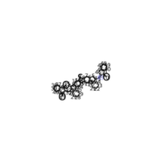 O=C1/C(=C/C2=Cc3cc4sc5cc6c(cc5c4cc3C23CCCCC3)C2(CCCCC2)C(C=C2C(=O)c3ccccc3C2=O)=C6)Cc2ccccc21